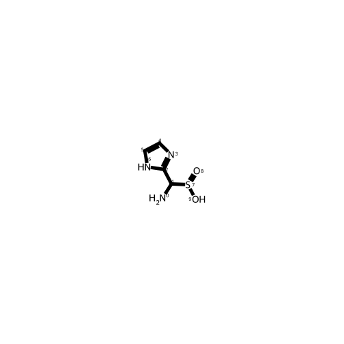 NC(c1ncc[nH]1)S(=O)O